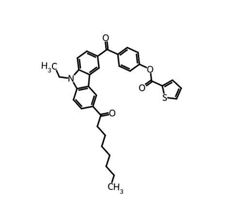 CCCCCCCC(=O)c1ccc2c(c1)c1cc(C(=O)c3ccc(OC(=O)c4cccs4)cc3)ccc1n2CC